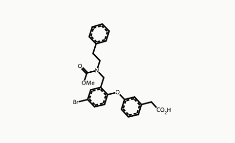 COC(=O)N(CCc1ccccc1)Cc1cc(Br)ccc1Oc1cccc(CC(=O)O)c1